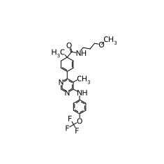 COCCCNC(=O)C1(C)C=CC(c2ncnc(Nc3ccc(OC(F)(F)F)cc3)c2C)=CC1